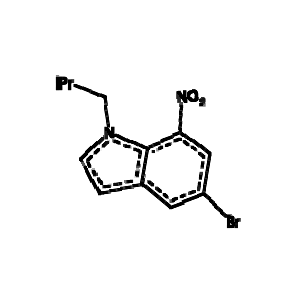 CC(C)Cn1ccc2cc(Br)cc([N+](=O)[O-])c21